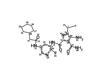 CC(C)n1nc(C(=O)Nc2cc(NC(=O)CC3CCCCC3)cnc2F)c(C(N)=O)c1N